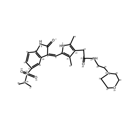 Cc1[nH]c(/C=C2\C(=O)Nc3ccc(S(=O)(=O)N(C)C)cc32)c(C)c1CC(=O)NCCN1CCOCC1